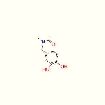 CC(=O)N(C)Cc1ccc(O)c(O)c1